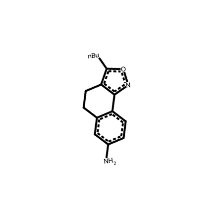 CCCCc1onc2c1CCc1cc(N)ccc1-2